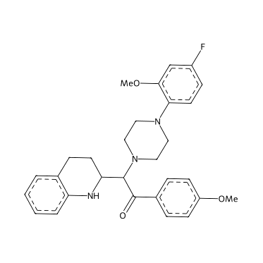 COc1ccc(C(=O)C(C2CCc3ccccc3N2)N2CCN(c3ccc(F)cc3OC)CC2)cc1